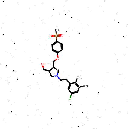 Cc1c(C#N)cc(Cl)cc1CCN1CC(CO)C(COc2ccc(S(C)(=O)=O)cc2)C1